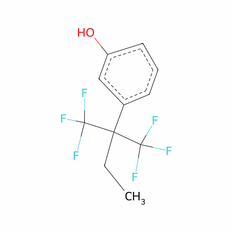 CCC(c1cccc(O)c1)(C(F)(F)F)C(F)(F)F